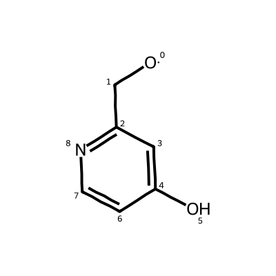 [O]Cc1cc(O)ccn1